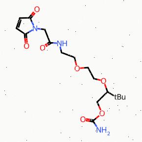 CC(C)(C)C(COC(N)=O)OCCOCCNC(=O)CN1C(=O)C=CC1=O